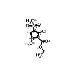 CCOC(=O)c1c(Cl)c(S(C)(=O)=O)cn1C